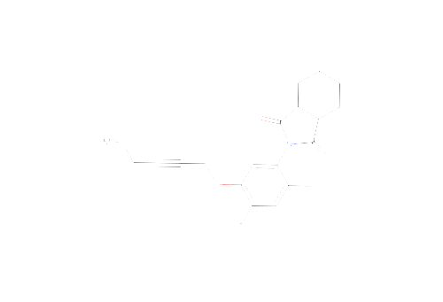 COCC#CCOc1cc(N2C(=O)C3CCCCC3C2=O)c(F)cc1Cl